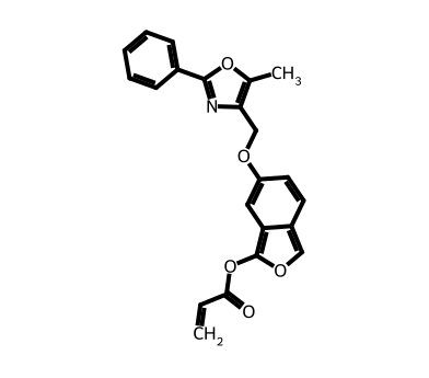 C=CC(=O)Oc1occ2ccc(OCc3nc(-c4ccccc4)oc3C)cc12